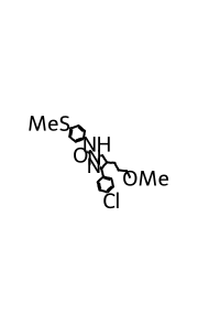 COCCCC1CN(C(=O)Nc2ccc(SC)cc2)N=C1c1ccc(Cl)cc1